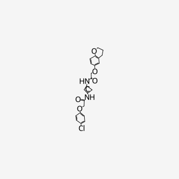 O=C(COc1ccc(Cl)cc1)NC12CC(NC(=O)COc3ccc4c(c3)CCCO4)(C1)C2